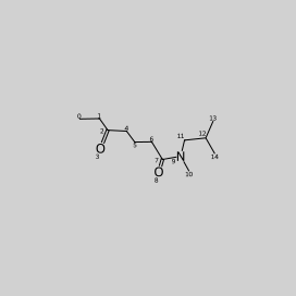 CCC(=O)CCCC(=O)N(C)CC(C)C